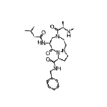 CN[C@H](C)C(=O)N1CCN2CC[C@@H](C(=O)NCc3ccccc3)N2C(=O)[C@@H](NC(=O)CC(C)C)C1